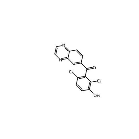 O=C(c1ccc2nccnc2c1)c1c(Cl)ccc(O)c1Cl